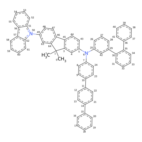 CC1(C)c2cc(N(c3ccc(-c4ccc(-c5ccccc5)cc4)cc3)c3cccc(-c4ccccc4-c4ccccc4)c3)ccc2-c2ccc(-n3c4ccccc4c4ccccc43)cc21